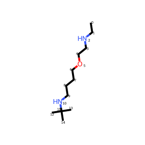 CCNCCOCCCCNC(C)(C)C